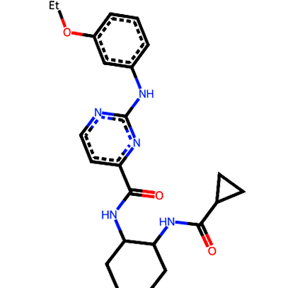 CCOc1cccc(Nc2nccc(C(=O)NC3CCCCC3NC(=O)C3CC3)n2)c1